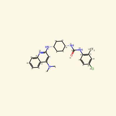 CN(C)c1cc(N[C@H]2CC[C@@H](NC(=O)Nc3ccc(Cl)cc3C(F)(F)F)CC2)nc2ccccc12